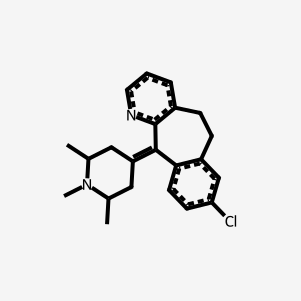 CC1CC(=C2c3ccc(Cl)cc3CCc3cccnc32)CC(C)N1C